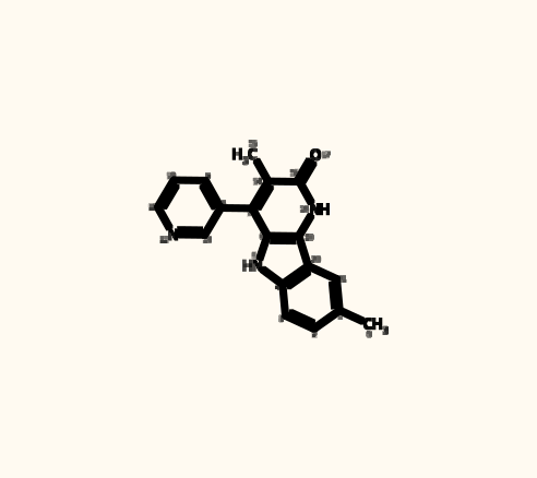 Cc1ccc2[nH]c3c(-c4cccnc4)c(C)c(=O)[nH]c3c2c1